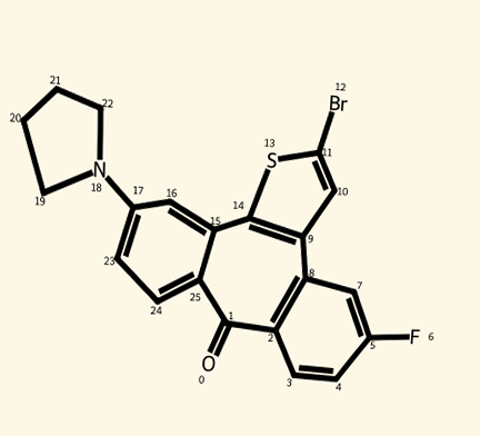 O=c1c2ccc(F)cc2c2cc(Br)sc2c2cc(N3CCCC3)ccc12